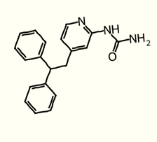 NC(=O)Nc1cc(CC(c2ccccc2)c2ccccc2)ccn1